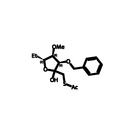 CC[C@H]1OC(O)(CSC(C)=O)[C@H](OCc2ccccc2)[C@@H]1OC